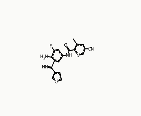 Cc1cc(C#N)cnc1C(=O)Nc1cc(F)c(N)c(C(=N)c2ccoc2)c1